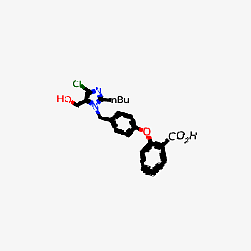 CCCCc1nc(Cl)c(CO)n1Cc1ccc(Oc2ccccc2C(=O)O)cc1